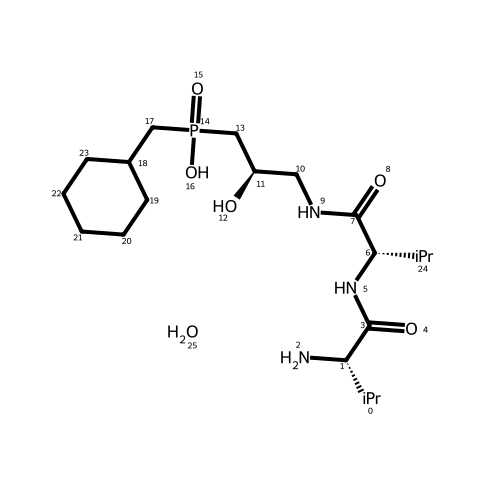 CC(C)[C@H](N)C(=O)N[C@H](C(=O)NC[C@@H](O)CP(=O)(O)CC1CCCCC1)C(C)C.O